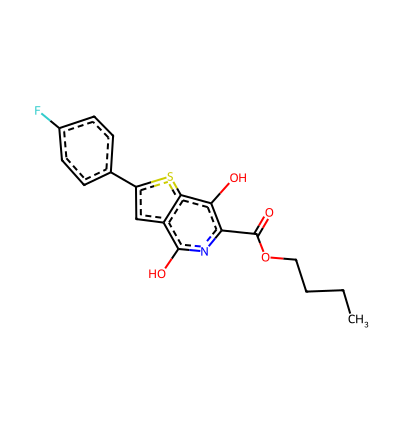 CCCCOC(=O)c1nc(O)c2cc(-c3ccc(F)cc3)sc2c1O